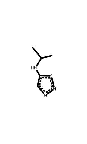 CC(C)Nc1cnns1